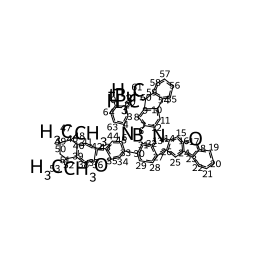 CC(C)(C)c1ccc(N2B3c4cc5c(cc4-n4c6cc7oc8ccccc8c7cc6c6ccc(c3c64)-c3cc4oc6cc7c(cc6c4cc32)C(C)(C)CCC7(C)C)-c2ccccc2C5(C)C)cc1